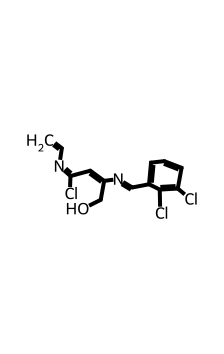 C=C\N=C(Cl)/C=C(CO)/N=C/c1cccc(Cl)c1Cl